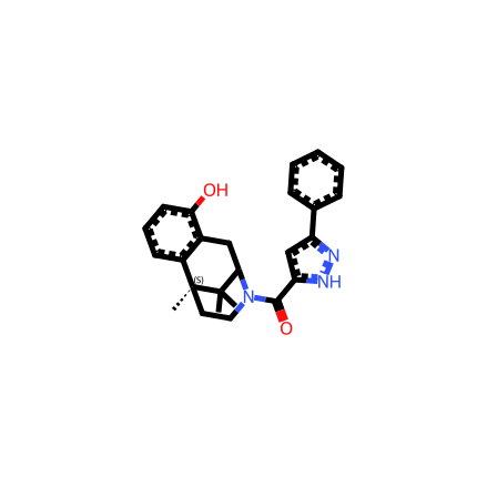 CC1(C)C2Cc3c(O)cccc3[C@]1(C)CCN2C(=O)c1cc(-c2ccccc2)n[nH]1